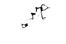 C[C@]1(O)C[C@H](NC(=O)CN2C[C@@]3(C[C@@H]3F)c3cc(I)ccc3C2=O)C1